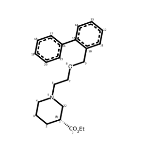 CCOC(=O)[C@@H]1CCCN(CCOCc2ccccc2-c2ccccc2)C1